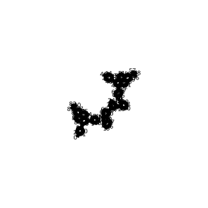 Cc1ccc(-c2cc(-c3ccc(-n4c5ccccc5c5cc(-c6ccc7c(c6)c6ccccc6n7-c6ccc(-c7cc(-c8ccc(C)cc8)c8ccc9cc(C(C)(C)C)cc%10ccc7c8c9%10)cc6)ccc54)cc3)c3ccc4cc(C(C)(C)C)cc5ccc2c3c54)cc1